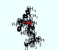 CCc1cc(OC)ccc1-c1ccc(C[C@H](NC(=O)[C@H](CC(=O)O)NC(=O)[C@H](CO)NC(=O)[C@@H](NC(=O)[C@](C)(Cc2ccccc2F)NC(=O)[C@@H](NC(=O)CNC(=O)[C@H](CCC(=O)O)NC(=O)C(C)(C)NC(=O)[C@@H](N)Cc2c[nH]cn2)[C@@H](C)O)[C@@H](C)O)C(=O)N[C@@H](COCc2ccccc2)C(N)=O)cc1